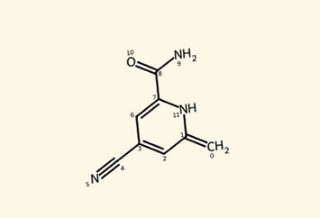 C=C1C=C(C#N)C=C(C(N)=O)N1